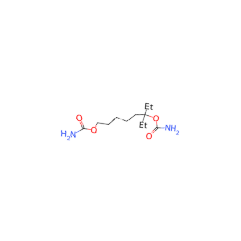 CCC(CC)(CCCCCOC(N)=O)OC(N)=O